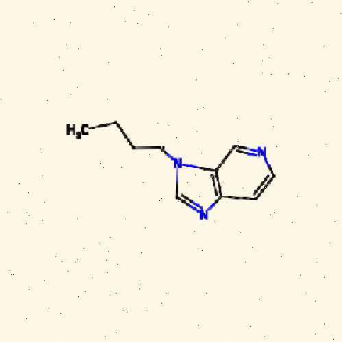 CCC[CH]n1cnc2ccncc21